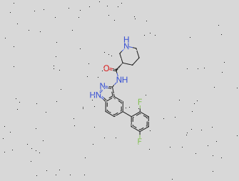 O=C(Nc1n[nH]c2ccc(-c3cc(F)ccc3F)cc12)[C@@H]1CCCNC1